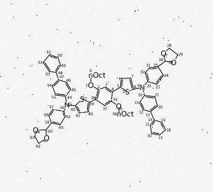 CCCCCCCCOc1cc(-c2ccc(N(c3ccc(-c4ccccc4)cc3)c3ccc(C4OCCO4)cc3)s2)c(OCCCCCCCC)cc1-c1ccc(N(c2ccc(-c3ccccc3)cc2)c2ccc(C3OCCO3)cc2)s1